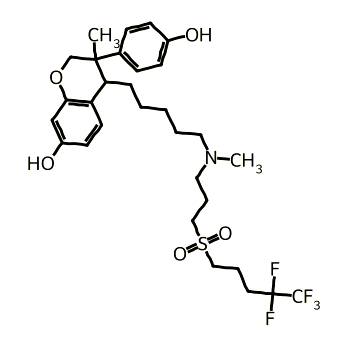 CN(CCCCCC1c2ccc(O)cc2OCC1(C)c1ccc(O)cc1)CCCS(=O)(=O)CCCC(F)(F)C(F)(F)F